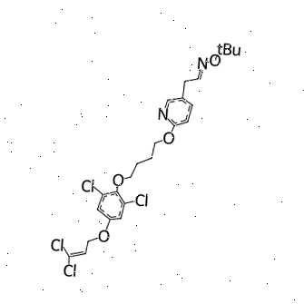 CC(C)(C)ON=CCc1ccc(OCCCCOc2c(Cl)cc(OCC=C(Cl)Cl)cc2Cl)nc1